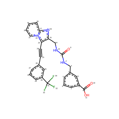 O=C(NCc1cccc(C(=O)O)c1)NCc1nc2ccccn2c1C#Cc1cccc(C(F)(F)F)c1